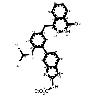 CCOC(=O)Nc1nc2cc(-c3cc(Cc4n[nH]c(=O)c5ccccc45)ccc3OC(F)F)ccc2[nH]1